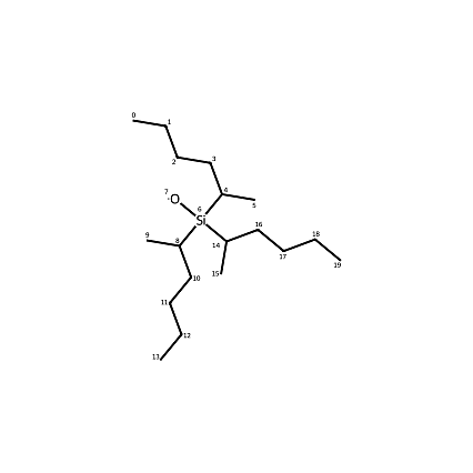 CCCCC(C)[Si]([O])(C(C)CCCC)C(C)CCCC